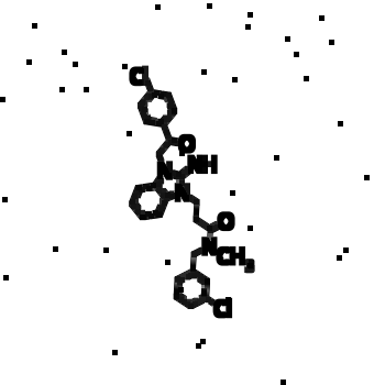 CN(Cc1cccc(Cl)c1)C(=O)CCn1c(=N)n(CC(=O)c2ccc(Cl)cc2)c2ccccc21